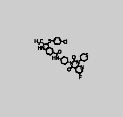 Cc1[nH]c2ccc(C(=O)N[C@H]3CC[C@@H](n4c(=O)c5cc(F)cnc5n(C5CCSCC5)c4=O)CC3)cc2c1Sc1ccc(Cl)cc1